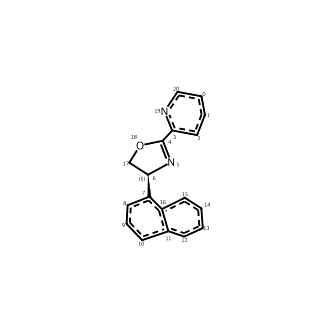 c1ccc(C2=N[C@@H](c3cccc4ccccc34)CO2)nc1